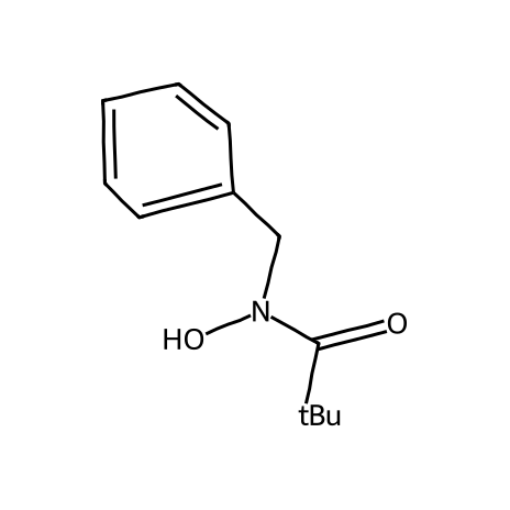 CC(C)(C)C(=O)N(O)Cc1ccccc1